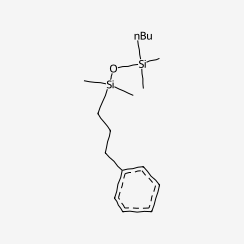 CCCC[Si](C)(C)O[Si](C)(C)CCCc1ccccc1